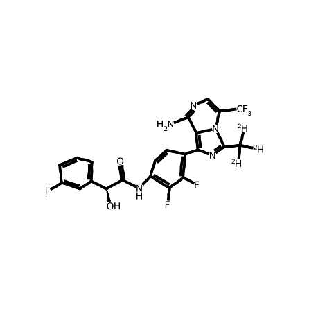 [2H]C([2H])([2H])c1nc(-c2ccc(NC(=O)[C@@H](O)c3cccc(F)c3)c(F)c2F)c2c(N)ncc(C(F)(F)F)n12